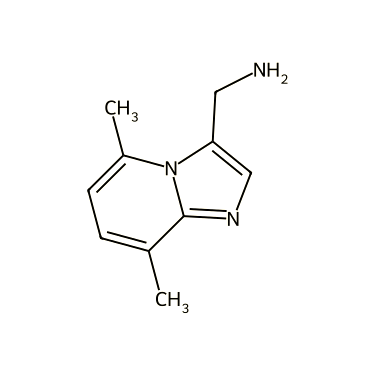 Cc1ccc(C)n2c(CN)cnc12